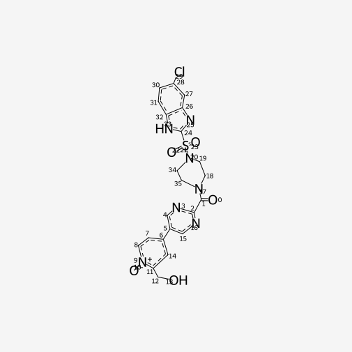 O=C(c1ncc(-c2cc[n+]([O-])c(CO)c2)cn1)N1CCN(S(=O)(=O)c2nc3cc(Cl)ccc3[nH]2)CC1